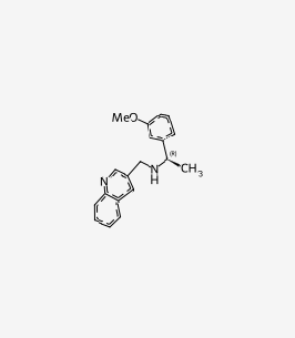 COc1cccc([C@@H](C)NCc2cnc3ccccc3c2)c1